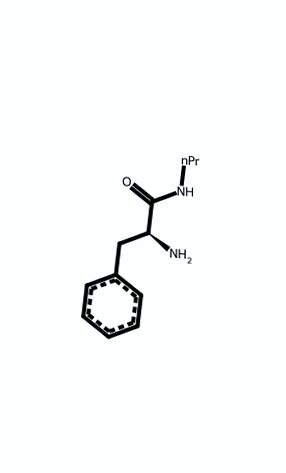 CCCNC(=O)[C@@H](N)Cc1ccccc1